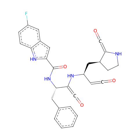 O=C=C[C@H](C[C@@H]1CCNC1=C=O)NC(=C=O)[C@H](Cc1ccccc1)NC(=O)c1cc2cc(F)ccc2[nH]1